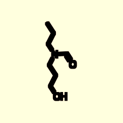 CCCN(C=O)CCCO